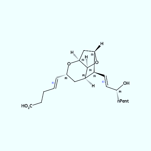 CCCCC[C@@H](O)/C=C/[C@H]1[C@H]2C[C@H](/C=C/CCC(=O)O)O[C@H]3C[C@@H]1O[C@@H]23